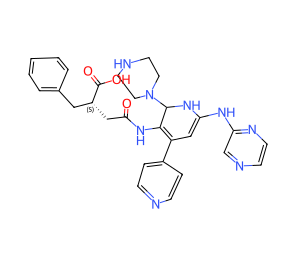 O=C(C[C@H](Cc1ccccc1)C(=O)O)NC1=C(c2ccncc2)C=C(Nc2cnccn2)NC1N1CCNCC1